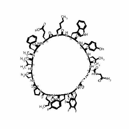 CCCCCN1C(=O)N[C@@H](Cc2c[nH]c3ccccc23)C(=O)N[C@@H](Cc2ccc(O)cc2)C(=O)N[C@@H](CC(C)C)C(=O)N[C@H](C(=O)NCC(N)=O)CSCC(=O)N[C@@H](Cc2cc(F)c(F)c(F)c2)C(=O)N(C)C(Cc2ccc(F)cc2)C(=O)N(C)[C@@H](CCCC)C(=O)N2CCC[C@@H]2C(=O)N[C@@H](CN)C(=O)N[C@@H](C(C)C)C(=O)N(C)[C@@H](Cc2ccccc2)C(=O)N[C@@H](CCC(=O)O)C2OC21